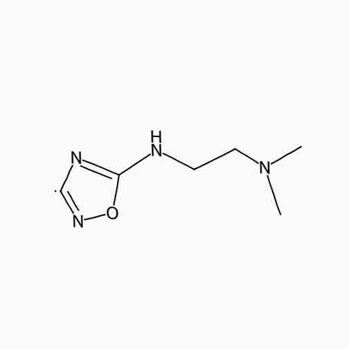 CN(C)CCNc1n[c]no1